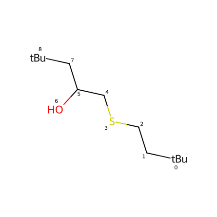 CC(C)(C)CCSCC(O)CC(C)(C)C